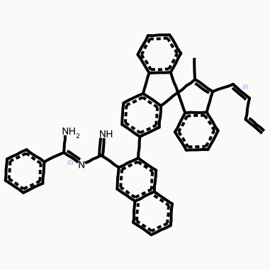 C=C/C=C\C1=C(C)C2(c3ccccc31)c1ccccc1-c1ccc(-c3cc4ccccc4cc3C(=N)/N=C(\N)c3ccccc3)cc12